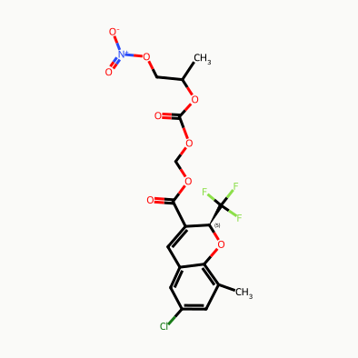 Cc1cc(Cl)cc2c1O[C@H](C(F)(F)F)C(C(=O)OCOC(=O)OC(C)CO[N+](=O)[O-])=C2